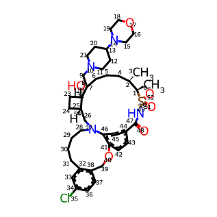 C[C@@H]1[C@@H](C)CCC[C@@](O)(CN2CCC(N3CCOCC3)CC2)[C@@H]2CC[C@H]2CN2CCCCc3cc(Cl)ccc3COc3ccc(cc32)C(=O)NS1(=O)=O